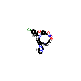 CCCc1cc(Cl)ccc1[C@]1(C)COc2ccc3cc2N(C[C@@H]2CC[C@H]2[C@@](CN2CCN4CCC[C@H]4C2)(OC)/C=C/C[C@H](C)[C@@H](C)S(=O)(=O)NC3=O)C1